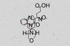 CO/N=C(\CCC(=O)O)c1nc2ccccc2n([C@H]2C[C@H]3COC[C@@H](C2)N3C2CC3CCCCC(C3)C2)c1=O